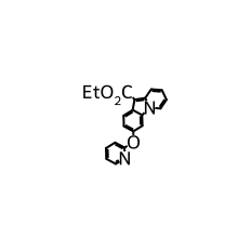 CCOC(=O)c1c2ccc(Oc3ccccn3)cc2n2ccccc12